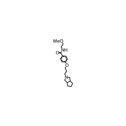 COCCNC(=O)c1ccc(OCCCN2CC3CCCC3C2)cc1